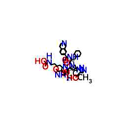 CC(C)(O)c1cnnn1[C@H]1C[C@@H](C(=O)NC(CCCCNC(=O)O)C(=O)C(N)=O)N(C(=O)[C@@H](CC2CCCCC2)NC(=O)c2ccc3ccncc3c2)C1